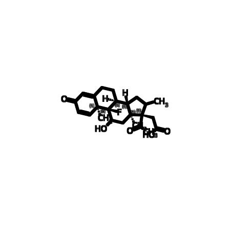 CC(=O)[C@@]1(CC(=O)O)C(C)C[C@H]2[C@@H]3CCC4=CC(=O)C=C[C@]4(C)[C@@]3(F)C(O)C[C@@]21C